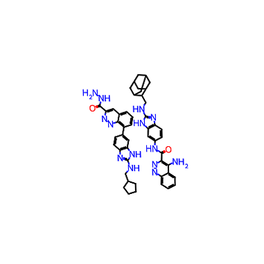 NNC(=O)c1cc2cccc(-c3ccc4nc(NCC5CCCC5)[nH]c4c3)c2nn1.Nc1c(C(=O)Nc2ccc3nc(NCC4C5CC6CC(C5)CC4C6)[nH]c3c2)nnc2ccccc12